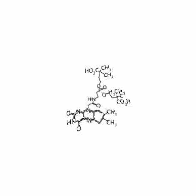 Cc1cc2nc3c(=O)[nH]c(=O)nc-3n(CC(=O)NCCP(=O)(OCCC(C)(C)C(=O)O)OCCC(C)(C)C(=O)O)c2cc1C